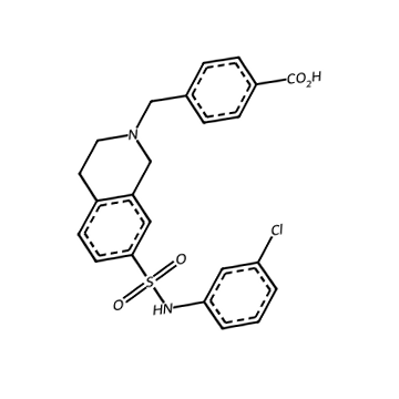 O=C(O)c1ccc(CN2CCc3ccc(S(=O)(=O)Nc4cccc(Cl)c4)cc3C2)cc1